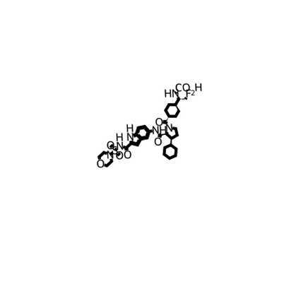 O=C(O)N[C@H](CF)[C@H]1CC[C@H](C(=O)N2CC[C@@H](C3CCCCC3)[C@H]2C(=O)Nc2ccc3[nH]c(C(=O)NS(=O)(=O)N4CCOCC4)cc3c2)CC1